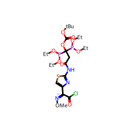 CCOP(OCC)C(CC(=O)Nc1nc(/C(=N/OC)C(=O)Cl)cs1)(OC(=O)OC(C)(C)C)P(OCC)OCC